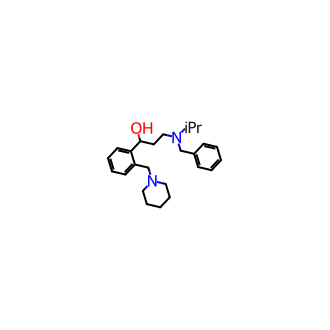 CC(C)N(CCC(O)c1ccccc1CN1CCCCC1)Cc1ccccc1